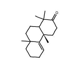 CC12CCCC=C1[C@@]1(C)CCC(=O)C(C)(C)C1CC2